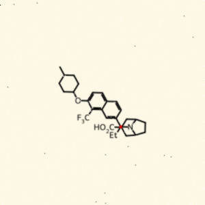 CCC(c1ccc2ccc(OC3CCC(C)CC3)c(C(F)(F)F)c2c1)N1C2CCC1CC(C(=O)O)C2